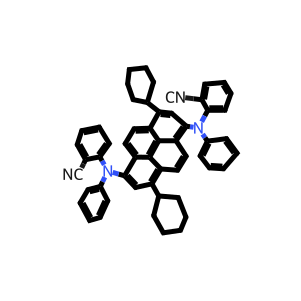 [C-]#[N+]c1ccccc1N(c1ccccc1)c1cc(C2CCCCC2)c2ccc3c(N(c4ccccc4)c4ccccc4C#N)cc(C4CCCCC4)c4ccc1c2c43